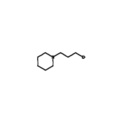 [O]CCCN1CCCCC1